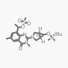 Cc1cc(C(C)OS(C)(=O)=O)c2nc(N3C[C@@H]4C(O[Si](C)(C)C(C)(C)C)[C@@H]4C3)n(C)c(=O)c2c1